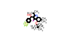 CC(C)c1nc2c(c(I)c1C(O)c1ccc(S(F)(F)(F)(F)F)cc1)C(O[Si](C)(C)C(C)(C)C)CC(C)(C)C2